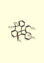 C=CC1=C(/C=C\C)C2(C(C=C)=C1/C=C\C)c1ccccc1C(C)(C)c1ccccc12